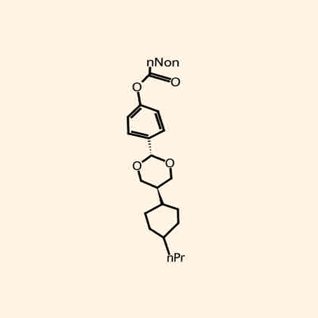 CCCCCCCCCC(=O)Oc1ccc([C@H]2OC[C@H](C3CCC(CCC)CC3)CO2)cc1